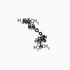 COC(=O)N[C@H](C(=O)N1CCC[C@H]1c1ncc(-c2ccc(-c3ccc(-c4cnc([C@@H]5CCCN5C(=O)[C@H](CC(=O)N(C)C)NC(=O)O)[nH]4)cc3)cc2)[nH]1)C(C)C